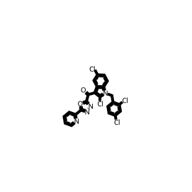 O=C(c1nnc(-c2ccccn2)o1)c1c(Cl)n(Cc2ccc(Cl)cc2Cl)c2ccc(Cl)cc12